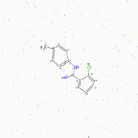 N=C(Nc1ccc(C(F)(F)F)cc1)c1ccccc1Cl